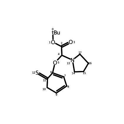 CC(C)(C)OC(=O)C(OC1=CC=CCC1=S)N1CCCC1